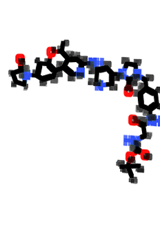 CC1Oc2cc(N3CCCC3=O)ccc2-c2cnc(Nc3cncc(N4CCN(Cc5ccc(NC(=O)CNC(=O)OC(C)(C)C)cc5)C4=O)c3)cc21